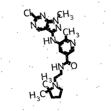 Cc1ncc(C(=O)NCCN2CCCC2(C)C)cc1Nc1nn(C)c2nc(Cl)ncc12